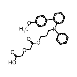 COc1ccc(-c2ccccc2N(CCCOC(=O)COCC(=O)O)c2ccccc2)cc1